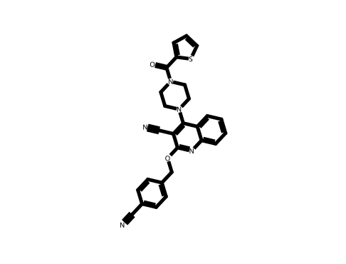 N#Cc1ccc(COc2nc3ccccc3c(N3CCN(C(=O)c4cccs4)CC3)c2C#N)cc1